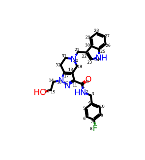 O=C(NCc1ccc(F)cc1)c1nn(CCO)c2c1CN(Cc1c[nH]c3ccccc13)CC2